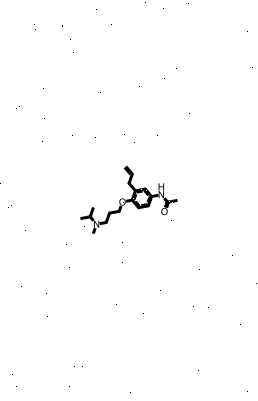 C=CCc1cc(NC(C)=O)ccc1OCCCN(C)C(C)C